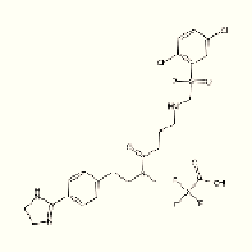 CN(CCc1ccc(C2=NCCN2)cc1)C(=O)CCCNCS(=O)(=O)c1cc(Cl)ccc1Cl.O=C(O)C(F)(F)F